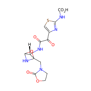 O=C(O)Nc1nc(C(=O)C(=O)N[C@H]2C3NC2(CN2CCOC2=O)O3)cs1